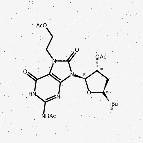 CC[C@H](C)[C@@H]1C[C@@H](OC(C)=O)[C@H](n2c(=O)n(CCOC(C)=O)c3c(=O)[nH]c(NC(C)=O)nc32)O1